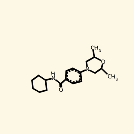 CC1CN(c2ccc(C(=O)NC3CCCCC3)cc2)CC(C)O1